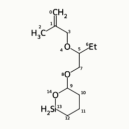 C=C(C)COC(CC)COC1CCC[SiH2]O1